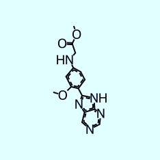 COC(=O)CNc1ccc(-c2nc3cncnc3[nH]2)c(OC)c1